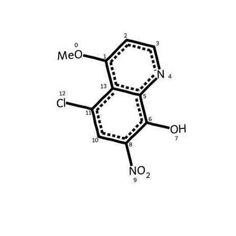 COc1ccnc2c(O)c([N+](=O)[O-])cc(Cl)c12